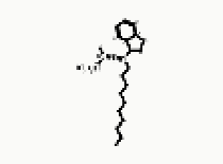 CCCCCCCCCC[N]([Ti]=[Si](C)C)C1CCC2C=CC=CC21.Cl.Cl